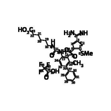 CSc1sc(C(=N)N)cc1S(=O)(=O)c1c(NC(=O)NCCCCCC(=O)O)ccc(-c2ccccc2)c1C.O=C(O)C(F)(F)F